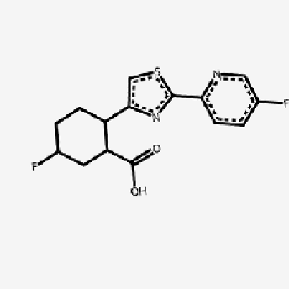 O=C(O)C1CC(F)CCC1c1csc(-c2ccc(F)cn2)n1